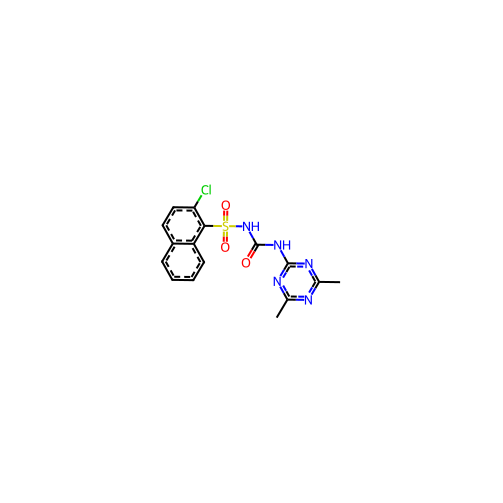 Cc1nc(C)nc(NC(=O)NS(=O)(=O)c2c(Cl)ccc3ccccc23)n1